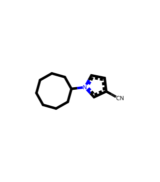 N#Cc1ccn(C2CCCCCCC2)c1